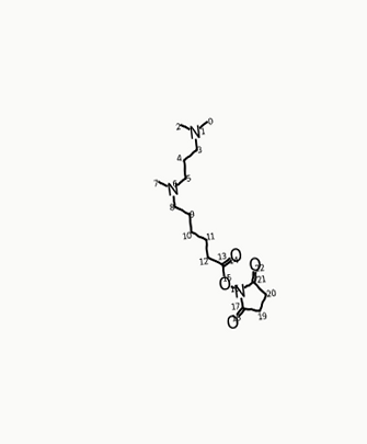 CN(C)CCCN(C)CCCCCC(=O)ON1C(=O)CCC1=O